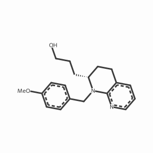 COc1ccc(CN2c3ncccc3CC[C@H]2CCCO)cc1